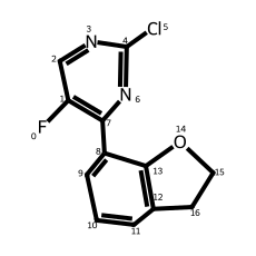 Fc1cnc(Cl)nc1-c1cccc2c1OCC2